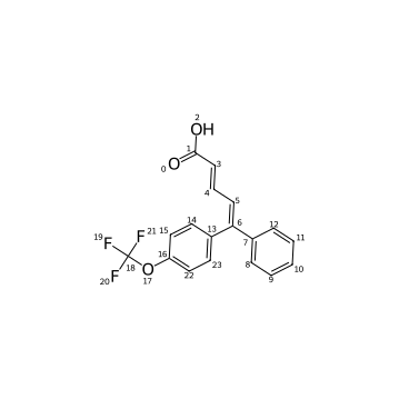 O=C(O)C=CC=C(c1ccccc1)c1ccc(OC(F)(F)F)cc1